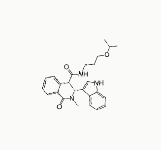 CC(C)OCCCNC(=O)C1c2ccccc2C(=O)N(C)C1c1c[nH]c2ccccc12